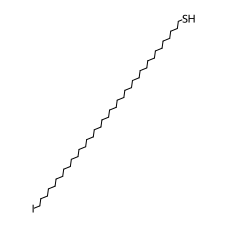 SCCCCCCCCCCCCCCCCCCCCCCCCCCCCCCCCCCCCCCI